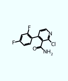 NC(=O)c1c(-c2ccc(F)cc2F)ccnc1Cl